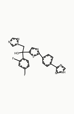 OC(Cn1cncn1)(c1cnc(-c2ccc(-c3nc[nH]n3)cc2)s1)c1ccc(F)cc1F